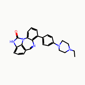 CCN1CCN(c2ccc(-c3cccc4c3N=Cc3cccc5[nH]c(=O)n-4c35)cc2)CC1